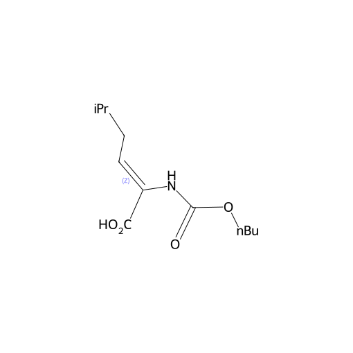 CCCCOC(=O)N/C(=C\CC(C)C)C(=O)O